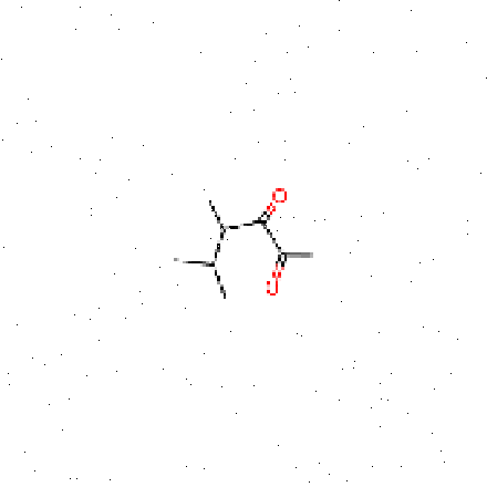 CC(=O)C(=O)C(C)C(C)C